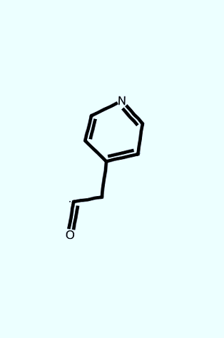 O=[C]Cc1ccncc1